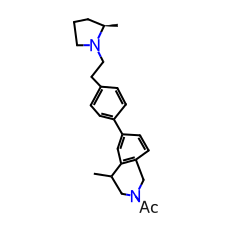 CC(=O)N1Cc2ccc(-c3ccc(CCN4CCC[C@H]4C)cc3)cc2C(C)C1